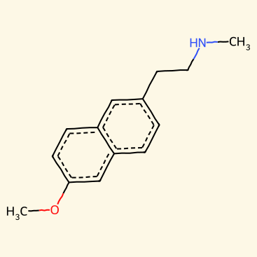 CNCCc1ccc2cc(OC)ccc2c1